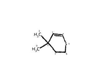 CC1(C)C=CSCC1